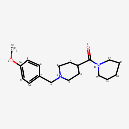 O=C(C1CCN(Cc2ccc(OC(F)(F)F)cc2)CC1)N1CCCCC1